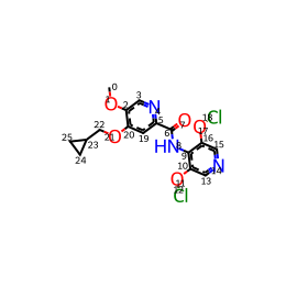 COc1cnc(C(=O)Nc2c(OCl)cncc2OCl)cc1OCC1CC1